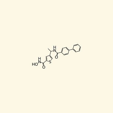 CC(NC(=O)c1ccc(-c2ccccc2)cc1)c1csc(C(=O)NO)c1